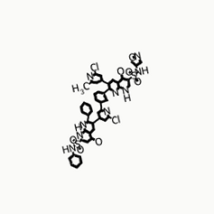 Cc1cc(-c2cc3c(=O)c(S(=O)(=O)Nc4cnoc4)c[nH]c3nc2-c2cccc(-c3cc(-c4cc5c(=O)cc(S(=O)(=O)Nc6ccccc6)[nH]c5nc4-c4ccccc4)cc(Cl)n3)c2)cc(Cl)n1